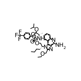 CCCC[C@H](COP(=O)(N[C@@H](C)C(=O)OC(C)C)Oc1ccc(C(F)(F)F)cc1)n1c(COCC)nc2c(N)nc3ccccc3c21